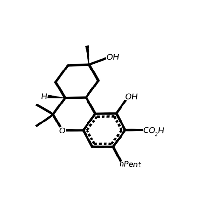 CCCCCc1cc2c(c(O)c1C(=O)O)C1C[C@@](C)(O)CC[C@H]1C(C)(C)O2